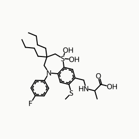 CCCCC1(CCCC)CN(c2ccc(F)cc2)c2cc(SC)c(CNC(C)C(=O)O)cc2S(O)(O)C1